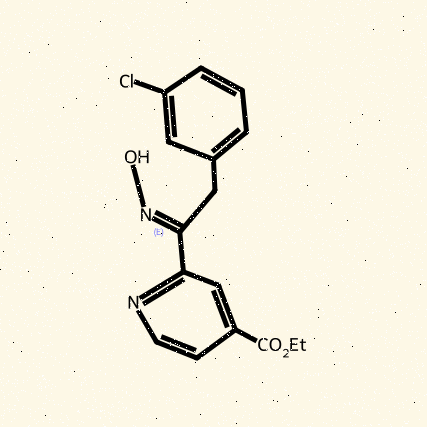 CCOC(=O)c1ccnc(/C(Cc2cccc(Cl)c2)=N/O)c1